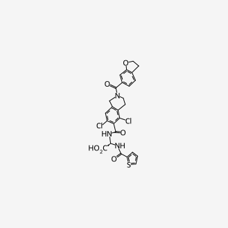 O=C(N[C@H](NC(=O)c1c(Cl)cc2c(c1Cl)CCN(C(=O)c1ccc3c(c1)OCC3)C2)C(=O)O)c1cccs1